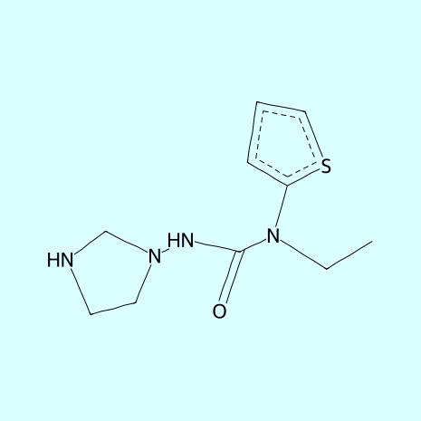 CCN(C(=O)NN1CCNC1)c1cccs1